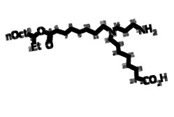 CCCCCCCCC(CC)OC(=O)CCCCCCCN(CCCN)CCCCCCCC(=O)O